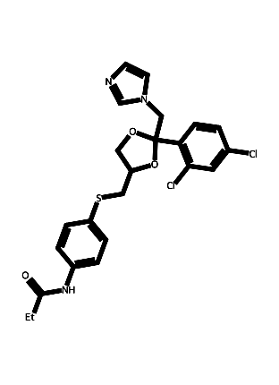 CCC(=O)Nc1ccc(SCC2COC(Cn3ccnc3)(c3ccc(Cl)cc3Cl)O2)cc1